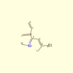 C=CC(=C)C(/C=C(\C)CC)=NC